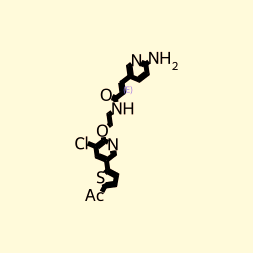 CC(=O)c1ccc(-c2cnc(OCCNC(=O)/C=C/c3ccc(N)nc3)c(Cl)c2)s1